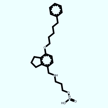 O=[PH](O)OCCCNCc1ccc(OCCCCCc2ccccc2)c2c1CCC2